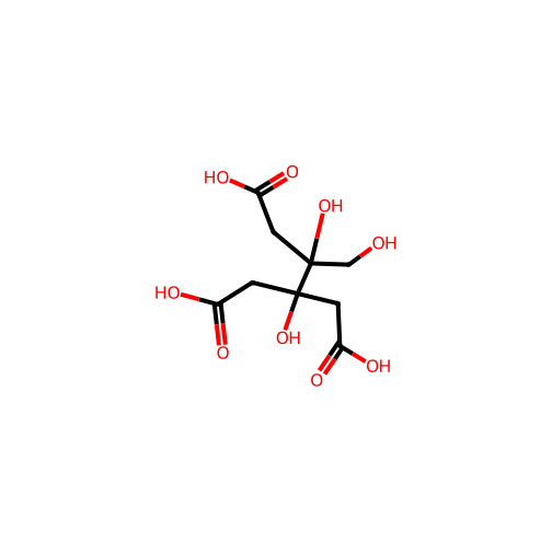 O=C(O)CC(O)(CO)C(O)(CC(=O)O)CC(=O)O